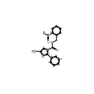 Cc1cn(C(=O)OCc2ccccc2[N+](=O)[O-])c(-c2ccccc2)n1